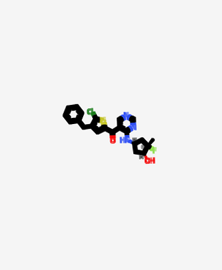 C[C@]1(F)C[C@H](Nc2ncncc2C(=O)c2cc(Cc3ccccc3)c(Cl)s2)C[C@H]1O